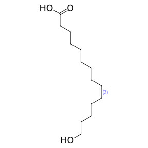 O=C(O)CCCCCCC/C=C\CCCCO